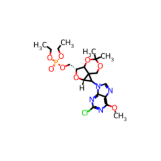 CCOP(=O)(OCC)OC[C@H]1O[C@H]2C(n3cnc4c(OC)nc(Cl)nc43)C23COC(C)(C)OC13